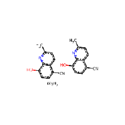 Cc1ccc2c(C#N)ccc(O)c2n1.Cc1ccc2c(C#N)ccc(O)c2n1.[MgH2]